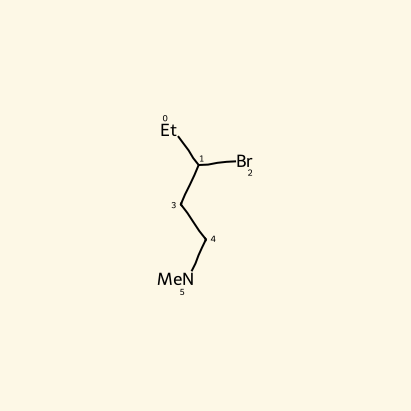 CCC(Br)CCNC